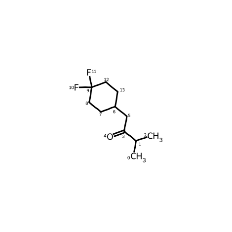 CC(C)C(=O)CC1CCC(F)(F)CC1